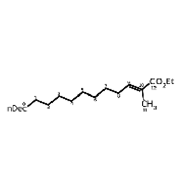 CCCCCCCCCCCCCCCCCCC=C(C)C(=O)OCC